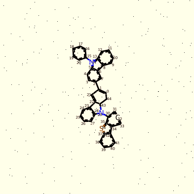 C1=C(c2ccc3c(c2)c2ccccc2n3-c2ccccc2)C=C2c3ccccc3N(c3cccc4c3sc3ccccc34)C2C1